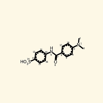 CN(C)c1ccc(C(=O)Nc2ccc(S(=O)(=O)O)cc2)cc1